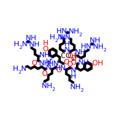 N=C(N)NCCCC(N)C(=O)NC(CCCCN)C(=O)NC(CCCCN)C(=O)NC(Cc1ccc(O)cc1)C(=O)NC(CCCCN)C(=O)NC(Cc1ccc(O)cc1)C(=O)NC(CCCNC(=N)N)C(=O)NC(CCCNC(=N)N)C(=O)NC(CCCCN)C(=O)O